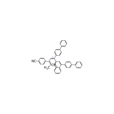 CC(C)=C(/C=C(/c1ccc(-c2ccccc2)cc1)c1cc(-c2ccc(-c3ccccc3)cc2)c2ccccc2c1)c1ccc(C#N)cc1